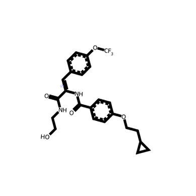 O=C(NCCO)/C(=C/c1ccc(OC(F)(F)F)cc1)NC(=O)c1ccc(OCCC2CC2)cc1